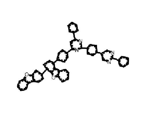 c1ccc(-c2cc(-c3ccc(-c4ccc(-c5ccc6c(c5)oc5ccccc56)c5oc6ccccc6c45)cc3)nc(-c3ccc(-c4cnc(-c5ccccc5)nc4)cc3)n2)cc1